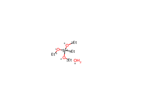 CCO[Si](CC)(OCC)OCC.O